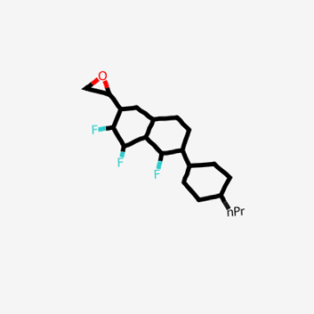 CCCC1CCC(C2CCC3CC(C4CO4)C(F)C(F)C3C2F)CC1